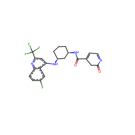 O=C1CC(C(=O)N[C@@H]2CCC[C@H](Nc3cc(C(F)(F)F)nc4ccc(F)cc34)C2)=CC=N1